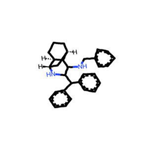 c1ccc(CNC2C(C(c3ccccc3)c3ccccc3)N[C@H]3C[C@H]4CCC[C@H]3C24)cc1